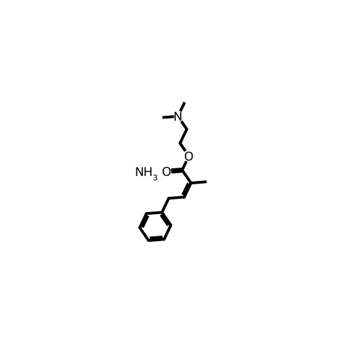 CC(=CCc1ccccc1)C(=O)OCCN(C)C.N